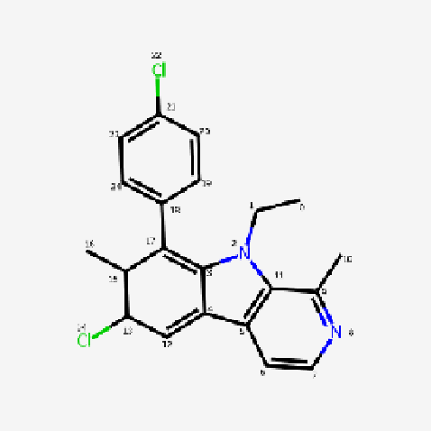 CCn1c2c(c3ccnc(C)c31)=CC(Cl)C(C)C=2c1ccc(Cl)cc1